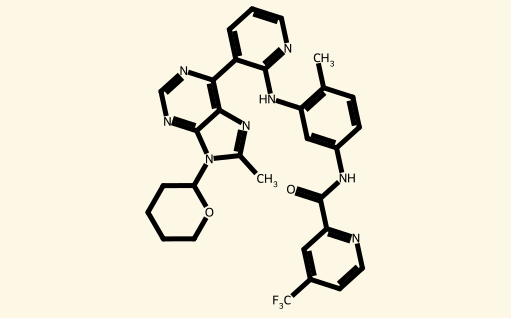 Cc1ccc(NC(=O)c2cc(C(F)(F)F)ccn2)cc1Nc1ncccc1-c1ncnc2c1nc(C)n2C1CCCCO1